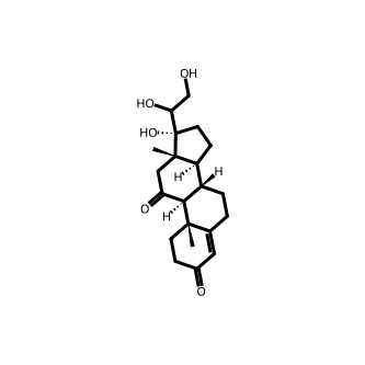 C[C@]12CCC(=O)C=C1CC[C@@H]1[C@@H]2C(=O)C[C@@]2(C)[C@H]1CC[C@]2(O)C(O)CO